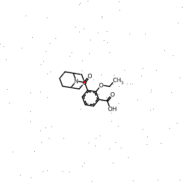 CCOc1c(C(=O)O)cccc1C(=O)N1C2CCCC1COC2